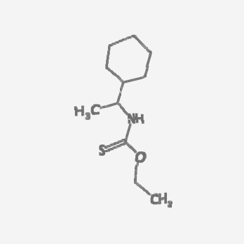 CCOC(=S)NC(C)C1CCCCC1